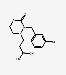 NC(O)CCN1CCSC(=O)N1Cc1cccc(O)c1